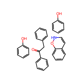 C1=Cc2ccccc2ON1.O=C(Cc1ccccc1)c1ccccc1.Oc1ccccc1.Oc1ccccc1